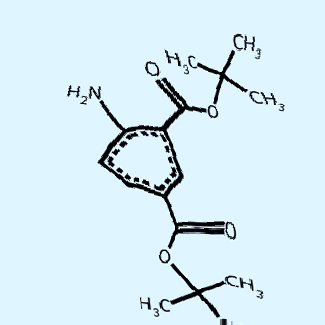 CC(C)(C)OC(=O)c1ccc(N)c(C(=O)OC(C)(C)C)c1